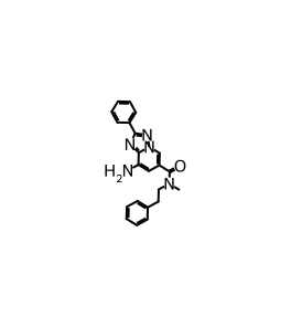 CN(CCc1ccccc1)C(=O)c1cc(N)c2nc(-c3ccccc3)nn2c1